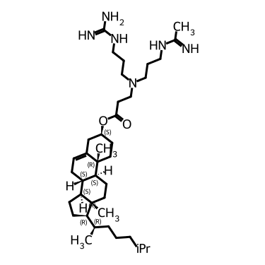 CC(=N)NCCCN(CCCNC(=N)N)CCC(=O)O[C@H]1CC[C@@]2(C)C(=CC[C@H]3[C@@H]4CC[C@H]([C@H](C)CCCC(C)C)[C@@]4(C)CC[C@@H]32)C1